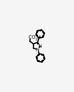 O=C(O)CC1CN(c2ccccc2)N=C1c1ccccc1